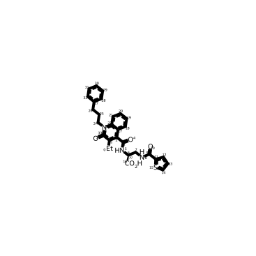 CCc1c(C(=O)N[C@@H](CNC(=O)c2cccs2)C(=O)O)c2ccccc2n(CCCc2ccccc2)c1=O